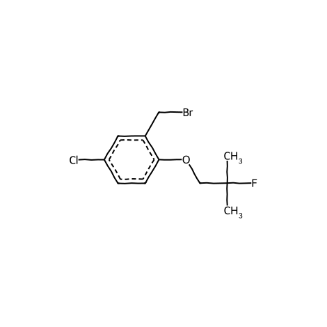 CC(C)(F)COc1ccc(Cl)cc1CBr